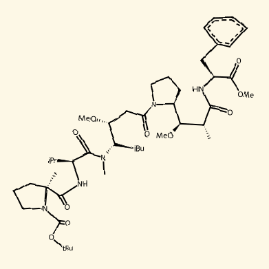 CC[C@H](C)[C@@H]([C@@H](CC(=O)N1CCC[C@H]1[C@H](OC)[C@@H](C)C(=O)N[C@@H](Cc1ccccc1)C(=O)OC)OC)N(C)C(=O)[C@@H](NC(=O)[C@]1(C)CCCN1C(=O)OC(C)(C)C)C(C)C